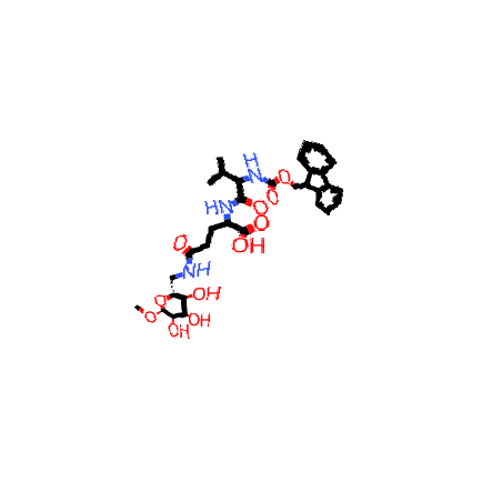 CO[C@@H]1O[C@H](CNC(=O)CCC(NC(=O)C(NC(=O)OCC2c3ccccc3-c3ccccc32)C(C)C)C(=O)O)[C@@H](O)[C@H](O)[C@H]1O